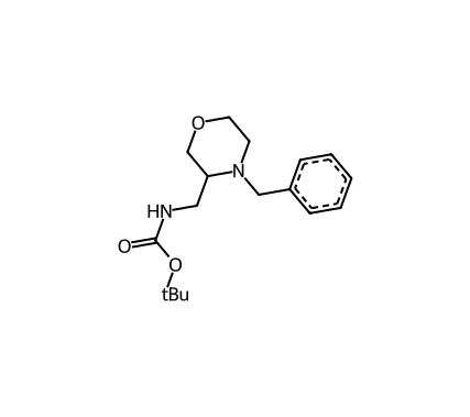 CC(C)(C)OC(=O)NCC1COCCN1Cc1ccccc1